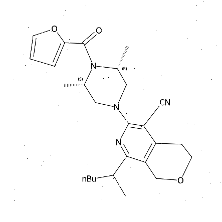 CCCCC(C)c1nc(N2C[C@@H](C)N(C(=O)c3ccco3)[C@@H](C)C2)c(C#N)c2c1COCC2